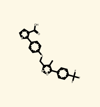 Cc1c(CSc2ccc(-c3sccc3C(=O)O)cc2)noc1-c1ccc(C(F)(F)F)cc1